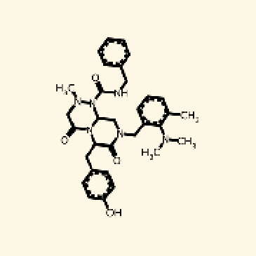 Cc1cccc(CN2CC3N(C(=O)CN(C)N3C(=O)NCc3ccccc3)C(Cc3ccc(O)cc3)C2=O)c1N(C)C